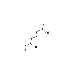 C=CC(O)CC=CC(C)O